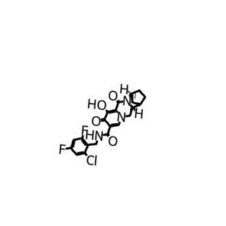 O=C(NCc1c(F)cc(F)cc1Cl)c1cn2c(c(O)c1=O)C(=O)N1[C@H]3CCC(C3)[C@@H]1C2